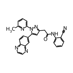 Cc1cccc(-n2nc(CC(=O)Nc3ccccc3C#N)cc2-c2ccc3nccnc3c2)n1